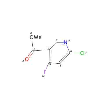 COC(=O)c1cnc(Cl)cc1I